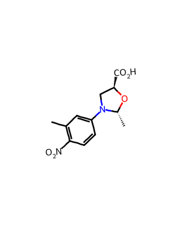 Cc1cc(N2C[C@@H](C(=O)O)O[C@@H]2C)ccc1[N+](=O)[O-]